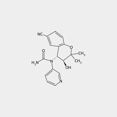 CC1(C)Oc2ccc(C#N)cc2[C@@H](N(C(N)=O)c2cccnc2)[C@@H]1O